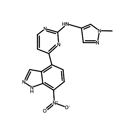 Cn1cc(Nc2nccc(-c3ccc([N+](=O)[O-])c4[nH]ncc34)n2)cn1